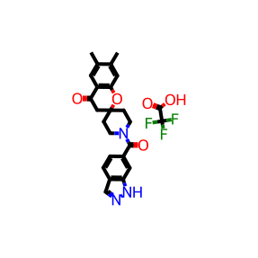 Cc1cc2c(cc1C)C(=O)CC1(CCN(C(=O)c3ccc4cn[nH]c4c3)CC1)O2.O=C(O)C(F)(F)F